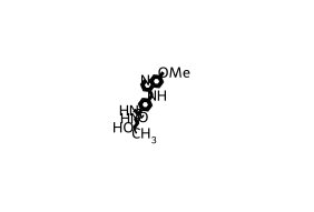 COc1ccc2c(Nc3ccc([S@@](=N)(=O)NC[C@@H](C)O)cc3)ccnc2c1